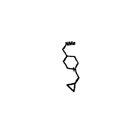 CNCC1CCN(CC2CC2)CC1